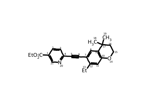 CCOC(=O)c1ccc(C#Cc2cc3c(cc2CC)OCCC3(C)C)nc1